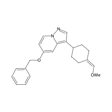 COC=C1CCC(c2cnn3ccc(OCc4ccccc4)cc23)CC1